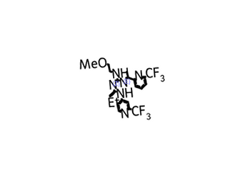 CCC=C(/N=C(\N=C(/C)c1cccc(C(F)(F)F)n1)NCCOC)Nc1ccnc(C(F)(F)F)c1